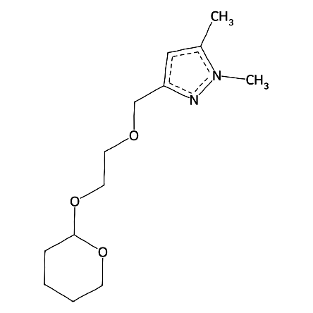 Cc1cc(COCCOC2CCCCO2)nn1C